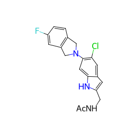 CC(=O)NCc1cc2cc(Cl)c(N3Cc4ccc(F)cc4C3)cc2[nH]1